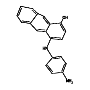 Nc1ccc(Nc2ccc(O)c3cc4ccccc4cc23)cc1